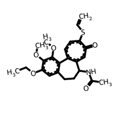 C=CSc1ccc2c(cc1=O)C(NC(C)=O)CCc1cc(OCC)c(OC)c(OC)c1-2